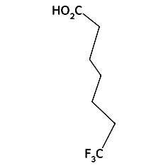 O=C(O)CCCCCC(F)(F)F